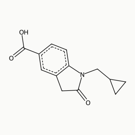 O=C(O)c1ccc2c(c1)CC(=O)N2CC1CC1